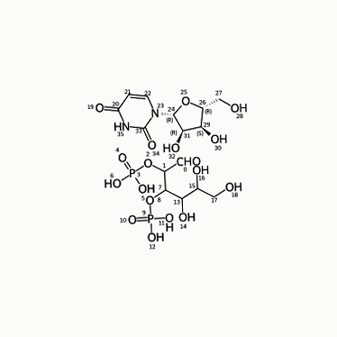 O=CC(OP(=O)(O)O)C(OP(=O)(O)O)C(O)C(O)CO.O=c1ccn([C@@H]2O[C@H](CO)[C@@H](O)[C@H]2O)c(=O)[nH]1